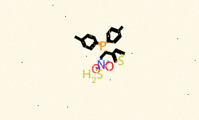 Cc1ccc(P(c2ccc(C)cc2)C(C[N+](=O)[O-])c2ccsc2)cc1.S